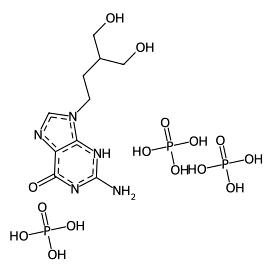 Nc1nc(=O)c2ncn(CCC(CO)CO)c2[nH]1.O=P(O)(O)O.O=P(O)(O)O.O=P(O)(O)O